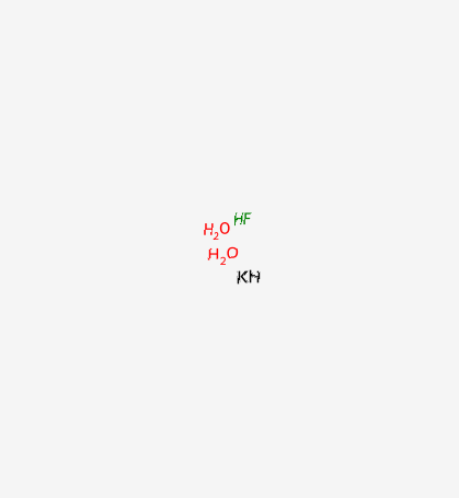 F.O.O.[KH]